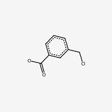 [O]C(=O)c1cccc(CCl)c1